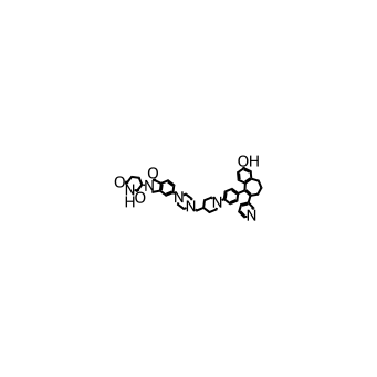 O=C1CC[C@@H](N2Cc3cc(N4CCN(CC5CCN(c6ccc(C7=C(c8cccnc8)CCCc8cc(O)ccc87)cc6)CC5)CC4)ccc3C2=O)C(=O)N1